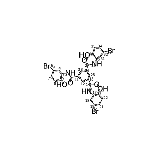 O=C(Nc1cc(Br)ccc1O)c1cc(C(=O)Nc2cc(Br)ccc2O)cc(C(=O)Nc2cc(Br)ccc2O)c1